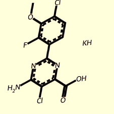 COc1c(Cl)ccc(-c2nc(N)c(Cl)c(C(=O)O)n2)c1F.[KH]